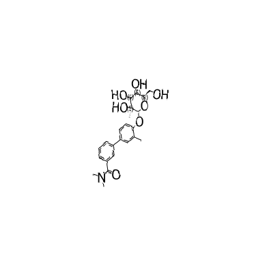 Cc1cc(-c2cccc(C(=O)N(C)C)c2)ccc1OC1O[C@H](CO)[C@@H](O)[C@H](O)[C@]1(C)O